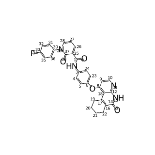 O=C(Nc1ccc(Oc2ccnc3[nH]c(=O)c4c(c23)CCCC4)cc1)c1cccn(-c2ccc(F)cc2)c1=O